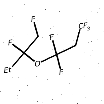 CCC(F)(CF)OC(F)(F)CC(F)(F)F